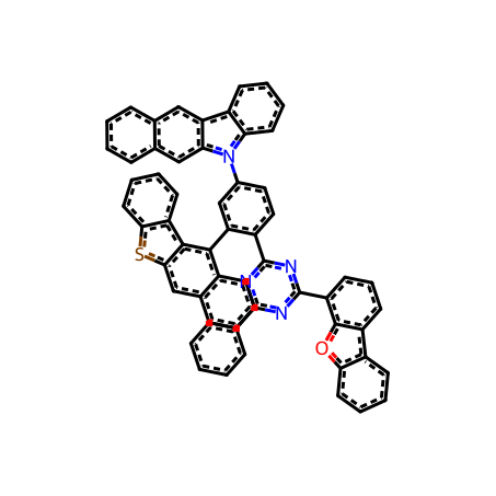 c1ccc(-c2nc(-c3ccc(-n4c5ccccc5c5cc6ccccc6cc54)cc3-c3c4ccccc4cc4sc5ccccc5c34)nc(-c3cccc4c3oc3ccccc34)n2)cc1